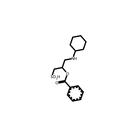 O=C(OC(CNC1CCCCC1)CS(=O)(=O)O)c1ccccc1